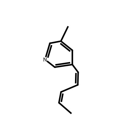 C/C=C\C=C/c1cncc(C)c1